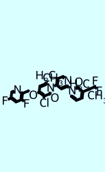 Cc1cnc(-n2cccc(C(C)(C)C(F)F)c2=O)cc1-n1c(C)cc(OCc2ncc(F)cc2F)c(Cl)c1=O